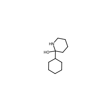 OC1(C2CCCCC2)CCCCN1